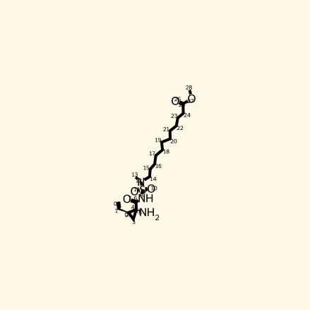 C=C[C@@H]1C[C@]1(N)C(=O)NS(=O)(=O)N(C)CCCCCCCCCCCC(=O)OC